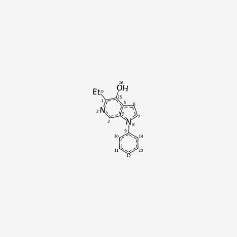 [CH2]Cc1ncc2c(ccn2-c2ccccc2)c1O